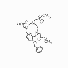 COC(=O)CN1CCN(CC(=O)O)Cc2ccc(OCc3ccccc3)c(n2)CN(CC(=O)OC)CC1